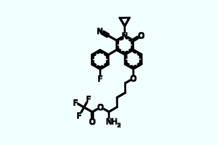 N#Cc1c(-c2cccc(F)c2)c2cc(OCCCCC(N)OC(=O)C(F)(F)F)ccc2c(=O)n1C1CC1